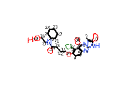 O=C1Cn2c(nc3ccc(OCCCC(=O)N(CCO)C4CCCCC4)c(Cl)c3c2=O)N1